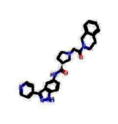 O=C(Nc1ccc2[nH]nc(-c3ccncc3)c2c1)[C@@H]1CCN(CC(=O)N2CCc3ccccc3C2)C1